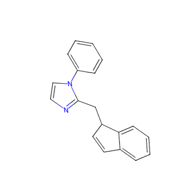 C1=CC(Cc2nccn2-c2ccccc2)c2ccccc21